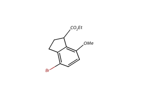 CCOC(=O)C1CCc2c(Br)ccc(OC)c21